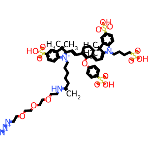 C=C(CCCCC[N+]1=C(/C=C/C2=C(Oc3ccc(S(=O)(=O)O)cc3)C(=C/C=C3/N(CCCCS(=O)(=O)O)c4ccc(S(=O)(=O)O)cc4C3(C)C)/CCC2)C(C)(C)c2cc(S(=O)(=O)O)ccc21)NCCOCCOCCOCCN=[N+]=[N-]